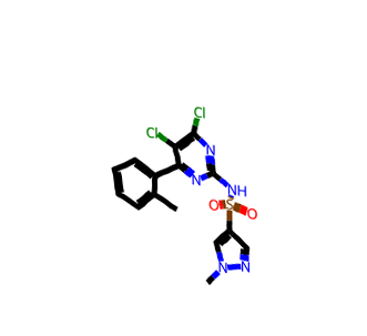 Cc1ccccc1-c1nc(NS(=O)(=O)c2cnn(C)c2)nc(Cl)c1Cl